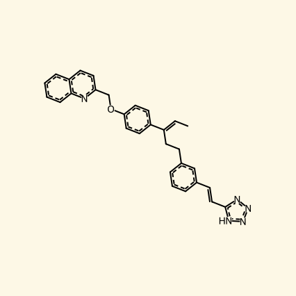 CC=C(CCc1cccc(C=Cc2nnn[nH]2)c1)c1ccc(OCc2ccc3ccccc3n2)cc1